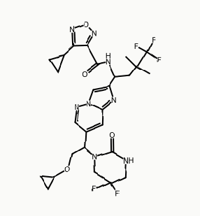 CC(C)(CC(NC(=O)c1nonc1C1CC1)c1cn2ncc(C(COC3CC3)N3CC(F)(F)CNC3=O)cc2n1)C(F)(F)F